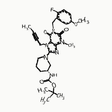 CC#CCn1c(N2CCC[C@@H](NC(=O)OC(C)(C)C)C2)nc2c1c(=O)n(Cc1cc(OC)ccc1F)c(=O)n2C